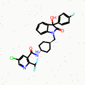 O=C(N[C@H]1CC[C@H](CN2C(=O)C(O)(c3ccc(F)cc3)c3ccccc32)CC1)c1cc(Cl)cnc1C(F)F